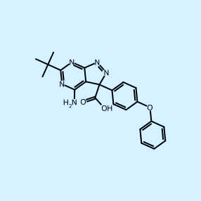 CC(C)(C)c1nc(N)c2c(n1)N=NC2(C(=O)O)c1ccc(Oc2ccccc2)cc1